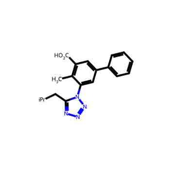 Cc1c(C(=O)O)cc(-c2ccccc2)cc1-n1nnnc1CC(C)C